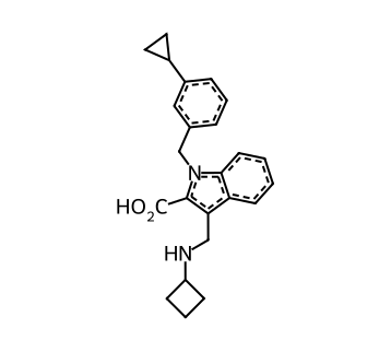 O=C(O)c1c(CNC2CCC2)c2ccccc2n1Cc1cccc(C2CC2)c1